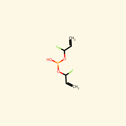 C=CC(F)OP(O)OC(F)C=C